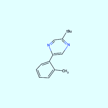 Cc1ccccc1-c1cnc(C(C)(C)C)cn1